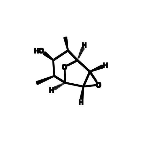 C[C@@H]1[C@H](O)[C@H](C)[C@H]2O[C@@H]1[C@@H]1O[C@@H]12